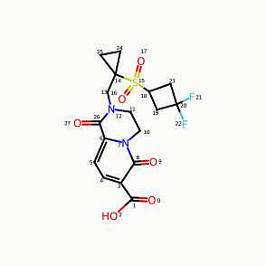 O=C(O)c1ccc2n(c1=O)CCN(CC1(S(=O)(=O)C3CC(F)(F)C3)CC1)C2=O